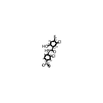 O=C(Nc1ccc([N+](=O)[O-])cc1Cl)c1cc(Cl)c(F)cc1O